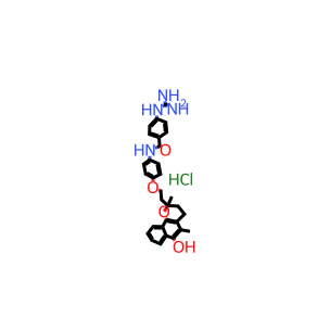 Cc1c2c(c3ccccc3c1O)OC(C)(CCOc1ccc(NC(=O)c3ccc(NC(=N)N)cc3)cc1)CC2.Cl